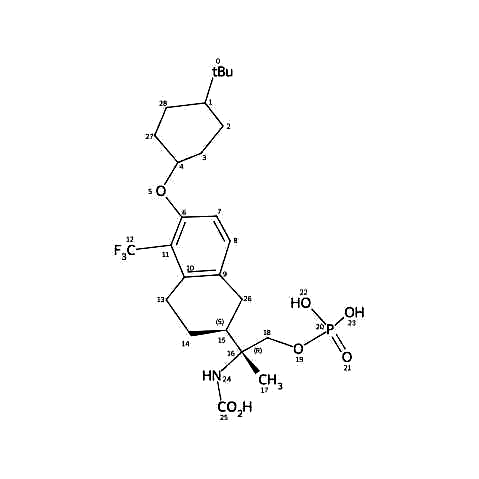 CC(C)(C)C1CCC(Oc2ccc3c(c2C(F)(F)F)CC[C@H]([C@](C)(COP(=O)(O)O)NC(=O)O)C3)CC1